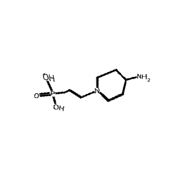 NC1CCN(CCP(=O)(O)O)CC1